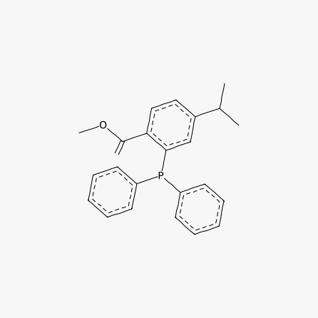 C=C(OC)c1ccc(C(C)C)cc1P(c1ccccc1)c1ccccc1